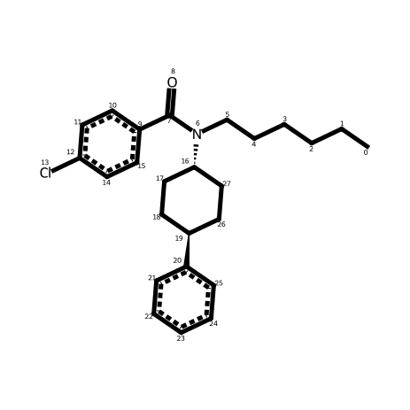 CCCCCCN(C(=O)c1ccc(Cl)cc1)[C@H]1CC[C@H](c2ccccc2)CC1